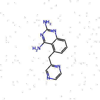 Nc1nc(N)c2c(Cc3cnccn3)cccc2n1